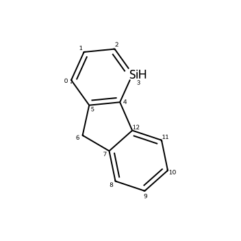 [c]1cc[siH]c2c1Cc1ccccc1-2